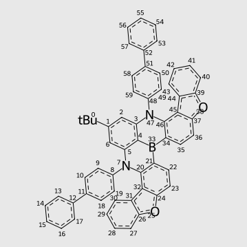 CC(C)(C)c1cc2c3c(c1)N(c1ccc(-c4ccccc4)cc1)c1c(ccc4oc5ccccc5c14)B3c1ccc3oc4ccccc4c3c1N2c1ccc(-c2ccccc2)cc1